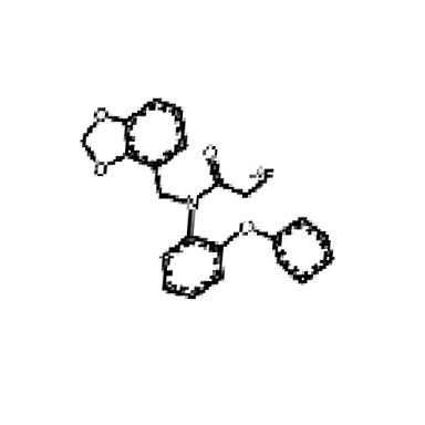 O=C(C[18F])N(Cc1cccc2c1OCO2)c1ccccc1Oc1ccccc1